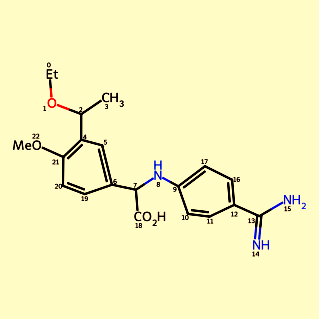 CCOC(C)c1cc(C(Nc2ccc(C(=N)N)cc2)C(=O)O)ccc1OC